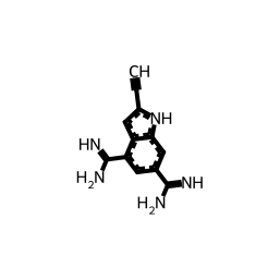 C#Cc1cc2c(C(=N)N)cc(C(=N)N)cc2[nH]1